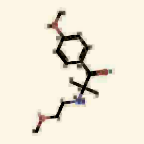 COCCNC(C)(C)C(=O)c1ccc(OC)cc1